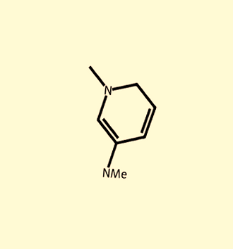 CNC1=CN(C)CC=C1